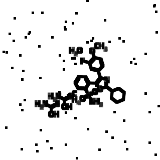 C.COc1ccc(-c2nc(C3CCCCC3)oc2-c2ccccc2S(N)(=O)=O)cc1F.NC(O)=S.NC(O)=S.O